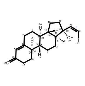 C[C@]12CC[C@H]3[C@@H](CCC4=CC(=O)CC[C@@H]43)[C@@H]1CC[C@@]2(O)/C=C\I